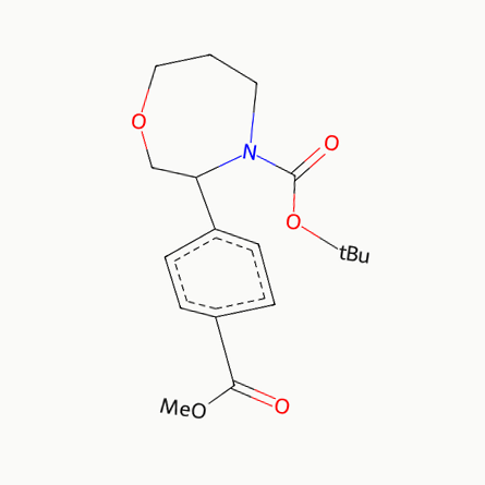 COC(=O)c1ccc(C2COCCCN2C(=O)OC(C)(C)C)cc1